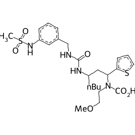 CCCCC(CC(c1cccs1)N(CCOC)C(=O)O)NC(=O)NCc1cccc(NS(C)(=O)=O)c1